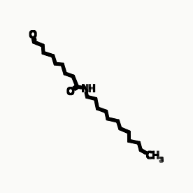 CCCCCCCCCCCCNC(=O)CCCCCCCC=O